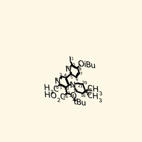 Cc1ncc(-c2ccc(OCC(C)C)c(I)n2)c(N2CCC(C)(C)CC2)c1C(OC(C)(C)C)C(=O)O